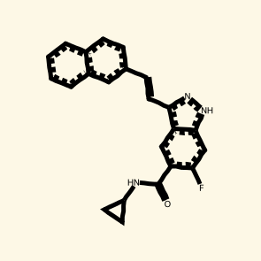 O=C(NC1CC1)c1cc2c(C=Cc3ccc4ccccc4c3)n[nH]c2cc1F